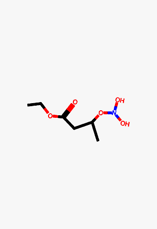 CCOC(=O)CC(C)ON(O)O